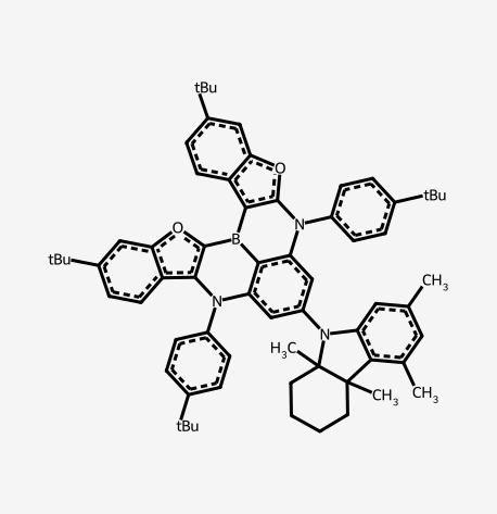 Cc1cc(C)c2c(c1)N(c1cc3c4c(c1)N(c1ccc(C(C)(C)C)cc1)c1c(oc5cc(C(C)(C)C)ccc15)B4c1c(oc4cc(C(C)(C)C)ccc14)N3c1ccc(C(C)(C)C)cc1)C1(C)CCCCC21C